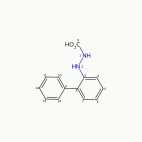 O=C(O)NNc1ccccc1-c1ccccc1